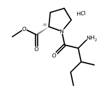 CCC(C)C(N)C(=O)N1CCC[C@H]1C(=O)OC.Cl